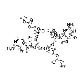 CC(C)OC(=O)OCOP1(=O)OC[C@H]2O[C@@H](n3cnc4c(N)ncnc43)C(F)C2OP(=O)(OCOC(=O)OC(C)C)OC[C@H]2O[C@@H](n3cnc4c(=O)[nH]c(N)nc43)C(O1)C2O